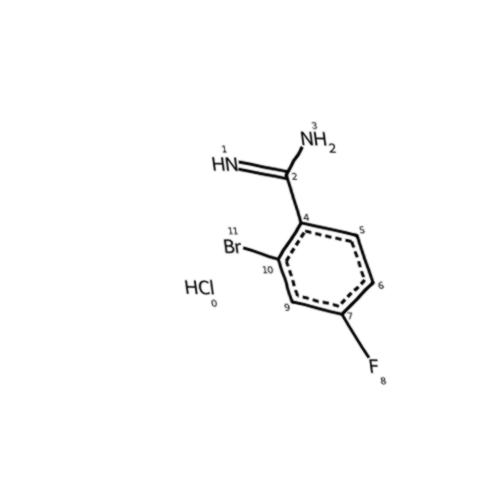 Cl.N=C(N)c1ccc(F)cc1Br